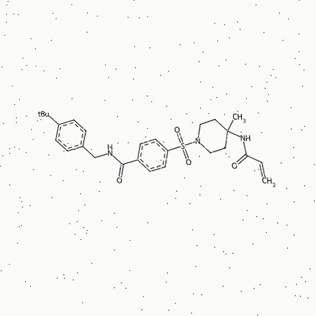 C=CC(=O)NC1(C)CCN(S(=O)(=O)c2ccc(C(=O)NCc3ccc(C(C)(C)C)cc3)cc2)CC1